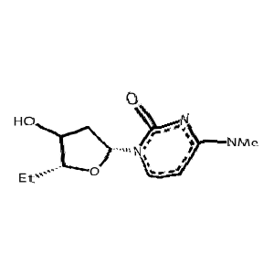 CC[C@H]1O[C@@H](n2ccc(NC)nc2=O)CC1O